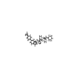 CN(C)c1ccc(-c2ccc3ccn(CC(=O)NCCNCC4CCCCC4)c3c2)cc1